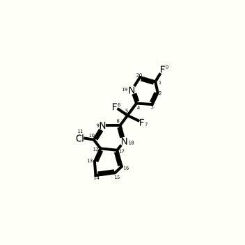 Fc1ccc(C(F)(F)c2nc(Cl)c3ccccc3n2)nc1